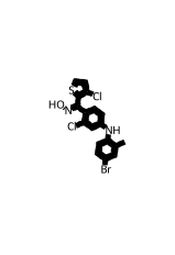 Cc1cc(Br)ccc1Nc1ccc(C(=NO)c2sccc2Cl)c(Cl)c1